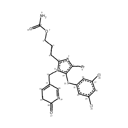 CC(C)c1nc(CCCOC(N)=O)n(CC2=CCC(=O)N=C2)c1Sc1cc(Cl)cc(Cl)c1